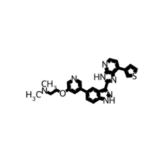 CN(C)CCOc1cncc(-c2ccc3[nH]nc(-c4nc5c(-c6ccsc6)ccnc5[nH]4)c3c2)c1